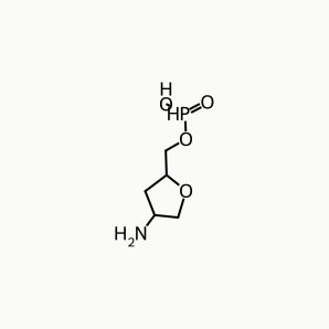 NC1COC(CO[PH](=O)O)C1